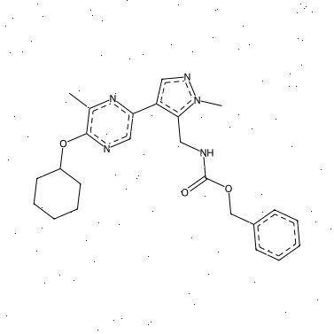 Cc1nc(-c2cnn(C)c2CNC(=O)OCc2ccccc2)cnc1OC1CCCCC1